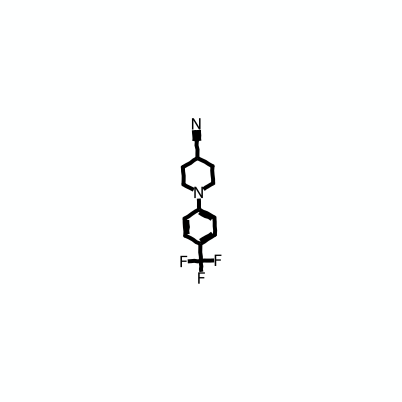 N#CC1CCN(c2ccc(C(F)(F)F)cc2)CC1